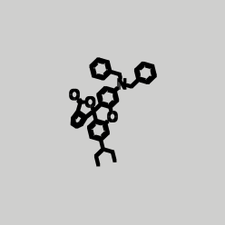 CCC(CC)c1ccc2c(c1)Oc1cc(N(Cc3ccccc3)Cc3ccccc3)ccc1C21OC(=O)c2ccccc21